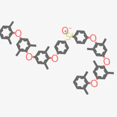 Cc1cccc(C)c1Oc1cc(C)c(Oc2cc(C)c(Oc3ccc([S+]([O-])c4ccc(Oc5c(C)cc(Oc6c(C)cc(Oc7c(C)cccc7C)cc6C)cc5C)cc4)cc3)c(C)c2)c(C)c1